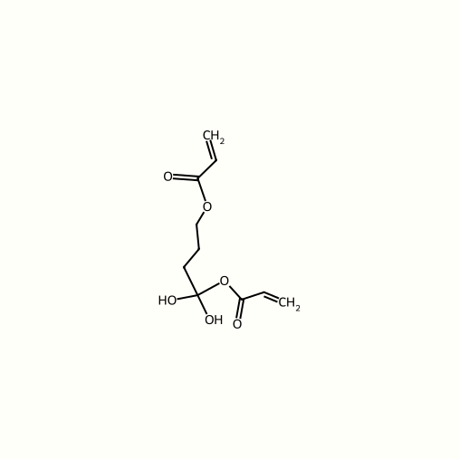 C=CC(=O)OCCCC(O)(O)OC(=O)C=C